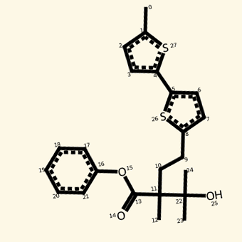 Cc1ccc(-c2ccc(CCC(C)(C(=O)Oc3ccccc3)C(C)(C)O)s2)s1